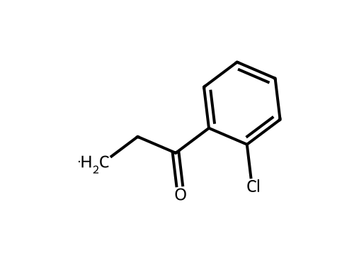 [CH2]CC(=O)c1ccccc1Cl